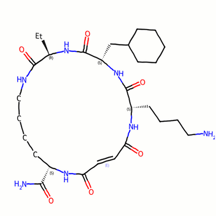 CC[C@H]1NC(=O)[C@H](CC2CCCCC2)NC(=O)[C@H](CCCCN)NC(=O)/C=C/C(=O)N[C@H](C(N)=O)CCCCNC1=O